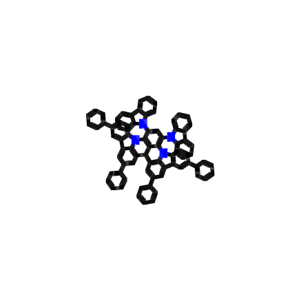 c1ccc(-c2ccc3c(c2)c2cc(-c4ccccc4)cc4c2n3-c2c(-n3c5ccccc5c5ccccc53)cc(-n3c5ccccc5c5ccccc53)c3c2C4c2cc(-c4ccccc4)cc4c5cc(-c6ccccc6)ccc5n-3c24)cc1